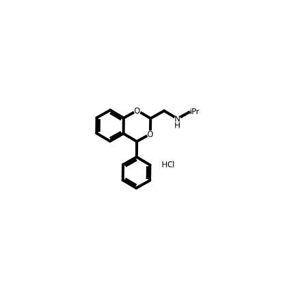 CC(C)NCC1Oc2ccccc2C(c2ccccc2)O1.Cl